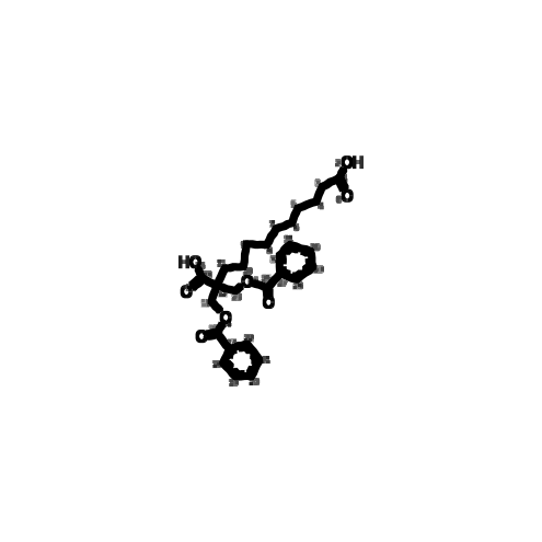 O=C(O)CCCCCCCCCC(COC(=O)c1ccccc1)(COC(=O)c1ccccc1)C(=O)O